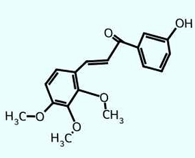 COc1ccc(/C=C/C(=O)c2cccc(O)c2)c(OC)c1OC